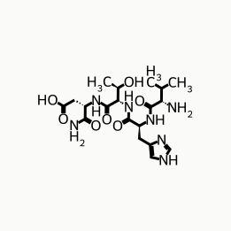 CC(C)[C@H](N)C(=O)N[C@@H](Cc1c[nH]cn1)C(=O)N[C@H](C(=O)N[C@@H](CC(=O)O)C(N)=O)[C@@H](C)O